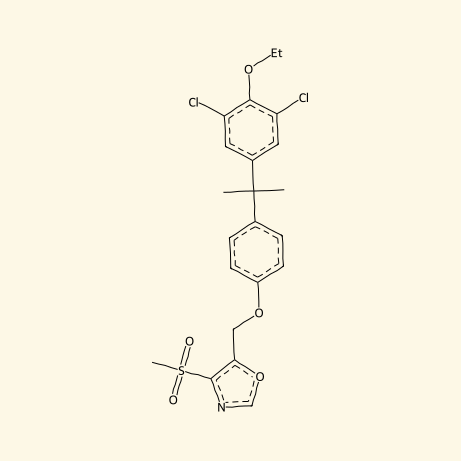 CCOc1c(Cl)cc(C(C)(C)c2ccc(OCc3ocnc3S(C)(=O)=O)cc2)cc1Cl